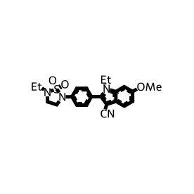 CCN1CCN(c2ccc(-c3c(C#N)c4ccc(OC)cc4n3CC)cc2)S1(=O)=O